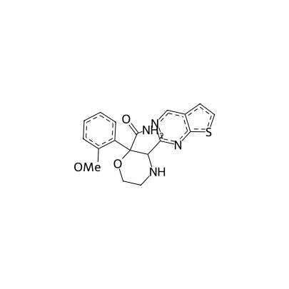 COc1ccccc1C1(C(N)=O)OCCNC1c1ncc2ccsc2n1